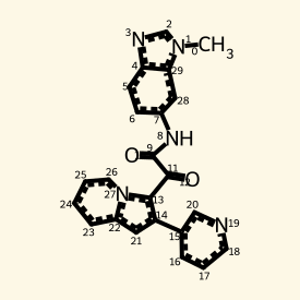 Cn1cnc2ccc(NC(=O)C(=O)c3c(-c4cccnc4)cc4ccccn34)cc21